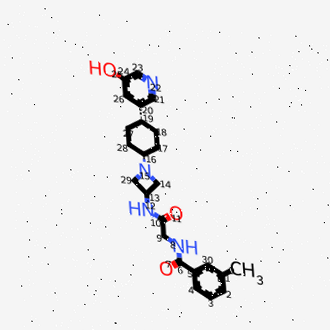 Cc1cccc(C(=O)NCC(=O)NC2CN([C@H]3CC[C@@H](c4cncc(O)c4)CC3)C2)c1